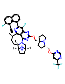 C#Cc1c(F)ccc2cccc(-c3nc4c5c(nc(OC[C@@]67CCCN6[C@H](COc6cc(C(F)(F)F)ncn6)CC7)nc5c3F)N3C[C@H]5CC[C@H](N5)[C@H]3CC[C@H]4C)c12